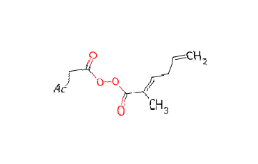 C=CCC=C(C)C(=O)OOC(=O)CC(C)=O